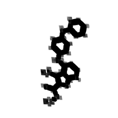 COC(=O)c1sc2nccc(Nc3ccc(Oc4ccccn4)cc3)c2c1N